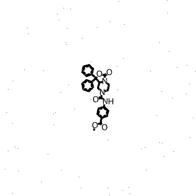 COC(=O)c1ccc(NC(=O)N2CCN3C(=O)OC(c4ccccc4)(c4ccccc4)C3C2)cc1